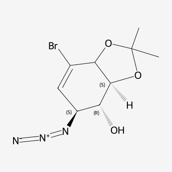 CC1(C)OC2C(Br)=C[C@H](N=[N+]=[N-])[C@@H](O)[C@@H]2O1